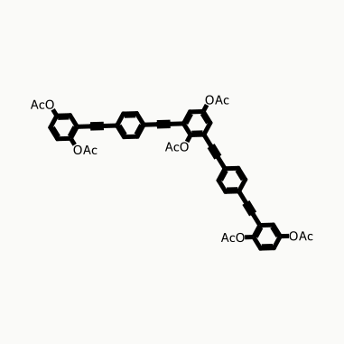 CC(=O)Oc1ccc(OC(C)=O)c(C#Cc2ccc(C#Cc3cc(OC(C)=O)cc(C#Cc4ccc(C#Cc5cc(OC(C)=O)ccc5OC(C)=O)cc4)c3OC(C)=O)cc2)c1